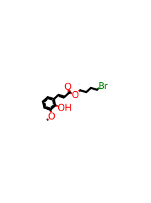 COc1cccc(C=CC(=O)OCCCCBr)c1O